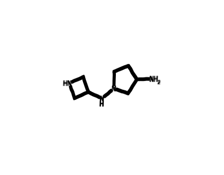 NC1CCN(NC2CNC2)C1